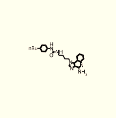 CCCCc1ccc(NC(=O)NCCCCn2cnc3c(N)nc4ccccc4c32)cc1